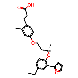 CCc1ccc(O[C@@H](C)CCOc2ccc(CCC(=O)O)c(C)c2)c(-c2ccco2)c1